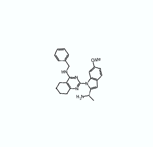 COc1ccc2cc(C(C)N)n(-c3nc4c(c(NCc5ccccc5)n3)CCCC4)c2c1